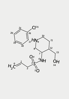 C=CCS(=O)(=O)NC1CNCCC1CO.Clc1ccccc1